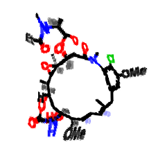 CCC(=O)N(C)[C@@H](C)C(=O)O[C@H]1CC(=O)N(C)c2cc(cc(OC)c2Cl)C/C(C)=C/C=C/[C@@H](OC)[C@@]2(O)C[C@H](OC(=O)N2)[C@@H](C)C2O[C@]21C